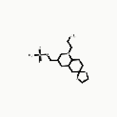 CCCN1CC(COS(C)(=O)=O)CC2CC3(CCC21)OCCO3